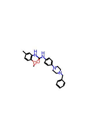 COc1ccc(C)cc1NC(=O)Nc1ccc(N2CCN(Cc3ccccc3)CC2)cc1